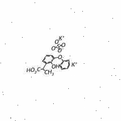 CC(C(=O)O)c1cccc(Oc2ccccc2)c1O.O=S(=O)([O-])[O-].[K+].[K+]